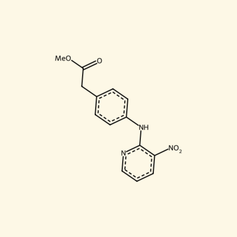 COC(=O)Cc1ccc(Nc2ncccc2[N+](=O)[O-])cc1